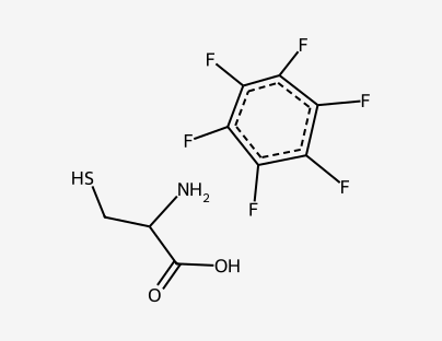 Fc1c(F)c(F)c(F)c(F)c1F.NC(CS)C(=O)O